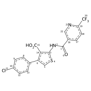 O=C(Nc1scc(-c2ccc(Cl)cc2)c1C(=O)O)c1ccc(C(F)(F)F)nc1